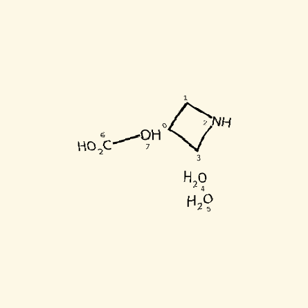 C1CNC1.O.O.O=C(O)O